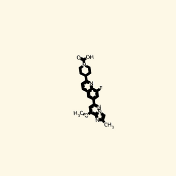 COc1cc(-c2cc(F)c3nc(C4CCN(C(=O)O)CC4)ccc3c2)nn2cc(C)nc12